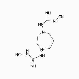 N#CNC(=N)NN1CCCN(NC(=N)NC#N)CC1